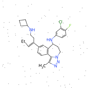 CC/C=C(\CCNC1CCC1)c1ccc2c(c1)C(Nc1ccc(F)c(Cl)c1)CCn1nnc(C)c1-2